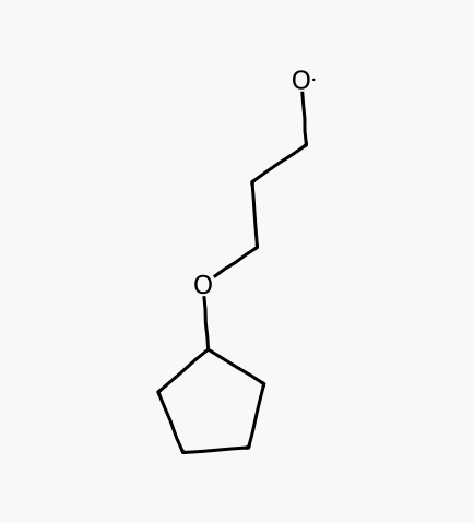 [O]CCCOC1CCCC1